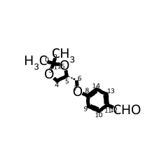 CC1(C)OC[C@@H](COc2ccc(C=O)cc2)O1